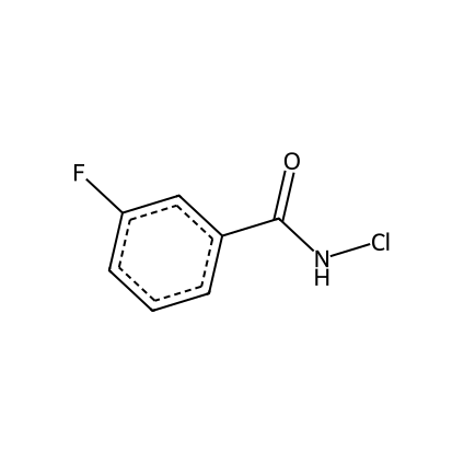 O=C(NCl)c1cccc(F)c1